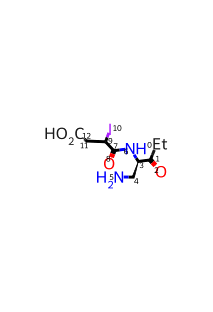 CCC(=O)[C@@H](CN)NC(=O)C(I)CC(=O)O